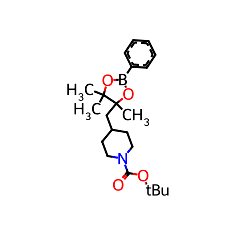 CC(C)(C)OC(=O)N1CCC(CC2(C)OB(c3ccccc3)OC2(C)C)CC1